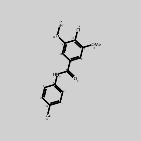 COc1cc(C(=O)Nc2ccc(C(C)=O)cc2)cc(OC(C)C)c1Cl